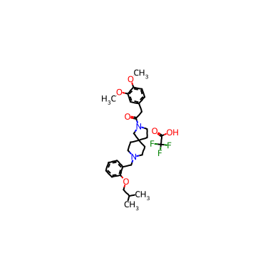 COc1ccc(CC(=O)N2CCC3(CCN(Cc4ccccc4OCC(C)C)CC3)C2)cc1OC.O=C(O)C(F)(F)F